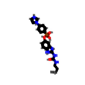 O=C(NCCS(=O)(=O)O)Nc1nc2cc(OS(=O)(=O)c3ccc(-n4ccnc4)cc3)ccc2[nH]1